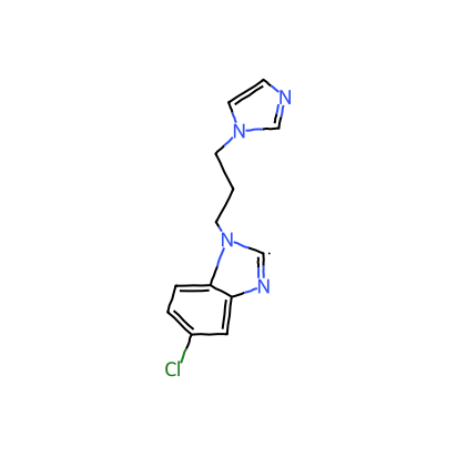 Clc1ccc2c(c1)n[c]n2CCCn1ccnc1